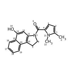 Cc1ccc(C(=O)N2CCc3c2cc(O)c2ccccc32)n1C